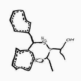 CC(O)P([SiH2]C(c1ccccc1)c1ccccc1)C(C)O